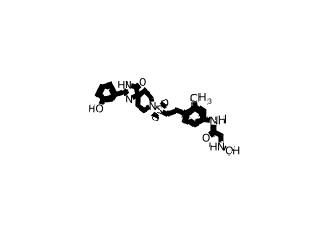 Cc1cc(NC(=O)CNO)ccc1CCS(=O)(=O)N1CCC2(CC1)N=C(c1cccc(O)c1)NC2=O